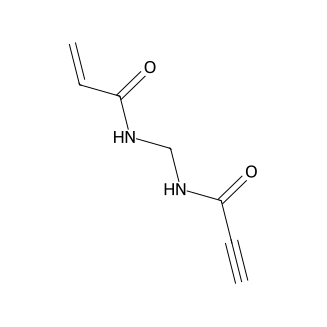 C#CC(=O)NCNC(=O)C=C